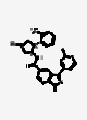 CCN1C[C@H](NC(=O)c2cnc3[nH]nc(-c4ccnc(C)c4)c3c2)[C@@H](c2ccccc2C(F)(F)F)C1